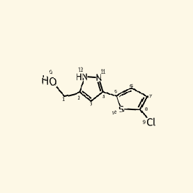 OCc1cc(-c2ccc(Cl)s2)n[nH]1